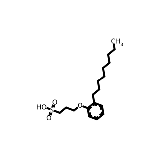 CCCCCCCCCc1ccccc1OCCCS(=O)(=O)O